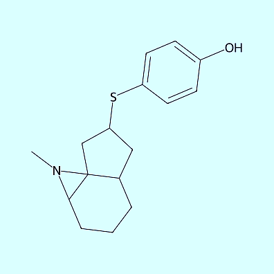 CN1C2CCCC3CC(Sc4ccc(O)cc4)CC321